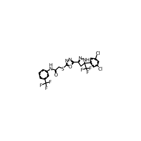 O=C(CSc1nnc(C2=NNC(c3cc(Cl)cc(Cl)c3)(C(F)(F)F)C2)o1)Nc1cccc(C(F)(F)F)c1